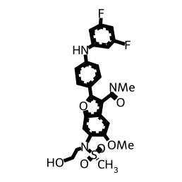 CNC(=O)c1c(-c2ccc(Nc3cc(F)cc(F)c3)cc2)oc2cc(N(CCO)S(C)(=O)=O)c(OC)cc12